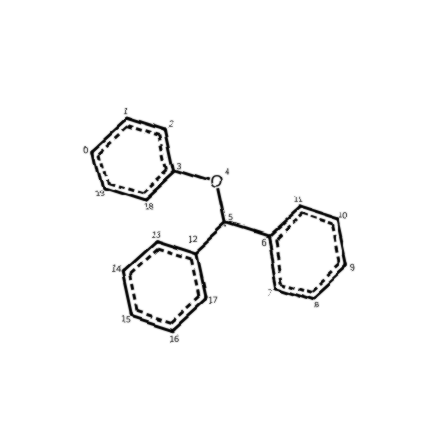 c1ccc(O[C](c2ccccc2)c2ccccc2)cc1